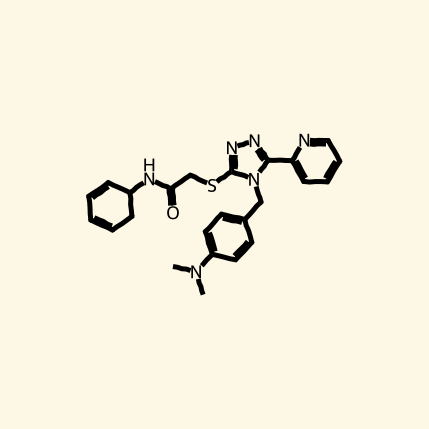 CN(C)c1ccc(Cn2c(SCC(=O)NC3C=CC=CC3)nnc2-c2ccccn2)cc1